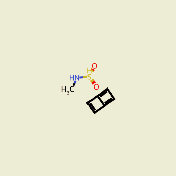 CN[SH](=O)=O.c1cc2ccc1-2